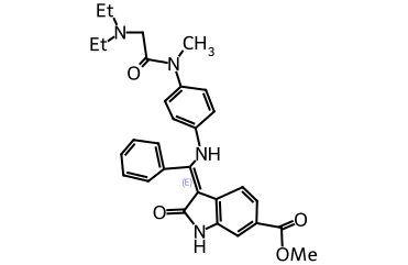 CCN(CC)CC(=O)N(C)c1ccc(N/C(=C2/C(=O)Nc3cc(C(=O)OC)ccc32)c2ccccc2)cc1